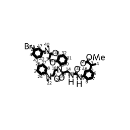 COC(=O)C(C)c1cccc(NC(=O)NCC(=O)N(CC(=O)N(C)c2ccccc2)c2ccccc2OCC(=O)N(C)c2cccc(Br)c2)c1